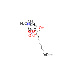 CCCCCCCCCCCCCCCCCCC(OP(=O)([O-])OCC[N+](C)(C)C)[C@H](CO)OC